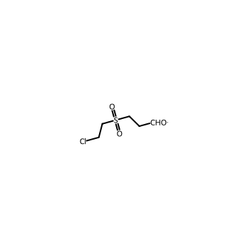 O=[C]CCS(=O)(=O)CCCl